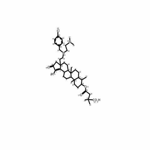 CC(C)C1=C2C3CCC4C(C)(CCC5C(C)C(OC(=O)CC(C)(C)C(=O)O)CCC54C)C3CCC2(CCN(CCN(C)C)Cc2ccc(Cl)cc2)CC1=O